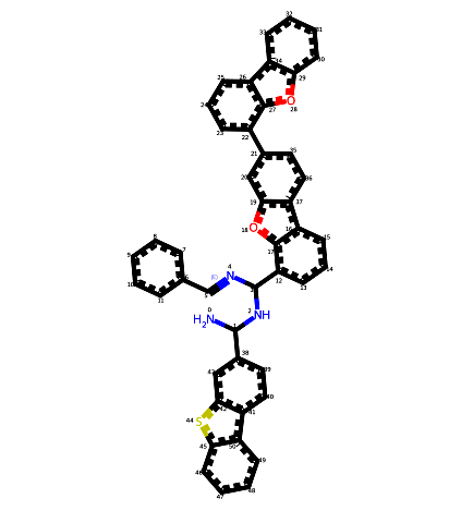 NC(NC(/N=C/c1ccccc1)c1cccc2c1oc1cc(-c3cccc4c3oc3ccccc34)ccc12)c1ccc2c(c1)sc1ccccc12